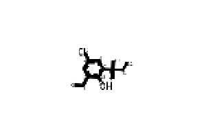 CCc1cc(Cl)cc(C(C)(C)CC)c1O